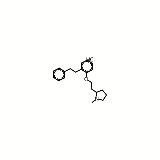 CN1CCCC1CCOc1ccccc1CCc1ccccc1.Cl